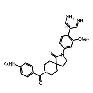 COc1cc(N2CCC3(CCN(C(=O)c4ccc(NC(C)=O)cc4)CC3)C2=O)ccc1/C(C=N)=C/N